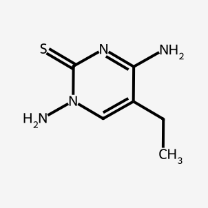 CCc1cn(N)c(=S)nc1N